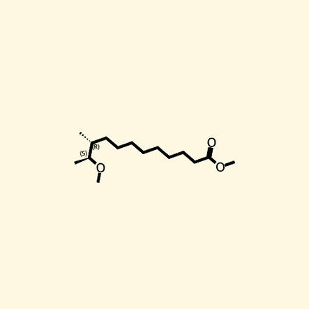 COC(=O)CCCCCCCC[C@@H](C)[C@H](C)OC